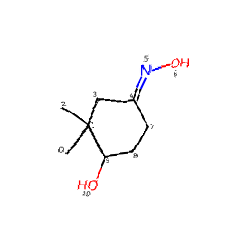 CC1(C)CC(=NO)CCC1O